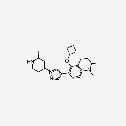 CC1CC(n2cc(-c3ccc4c(c3OC3CCC3)CCC(C)N4C)cn2)CCN1